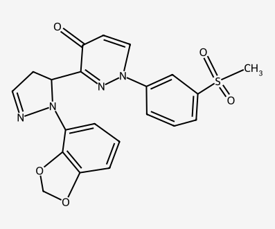 CS(=O)(=O)c1cccc(-n2ccc(=O)c(C3CC=NN3c3cccc4c3OCO4)n2)c1